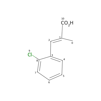 CC(=Cc1ccccc1Cl)C(=O)O